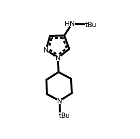 CC(C)(C)Nc1cnn(C2CCN(C(C)(C)C)CC2)c1